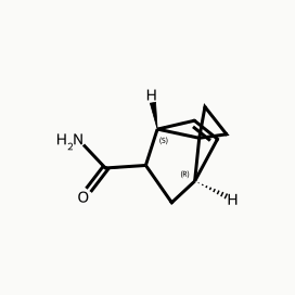 NC(=O)C1C[C@@H]2C=C[C@@H]1C21CC1